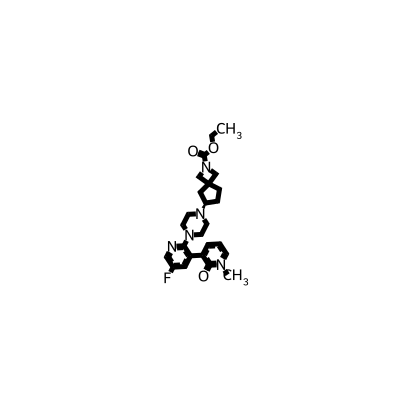 CCOC(=O)N1CC2(CC[C@@H](N3CCN(c4ncc(F)cc4-c4cccn(C)c4=O)CC3)C2)C1